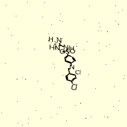 N=C(N)NS(=O)(=O)c1ccc(N=Cc2ccc(Cl)cc2Cl)cc1